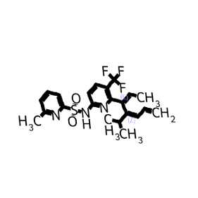 C=C/C=C(\C(=C/C)c1nc(NS(=O)(=O)c2cccc(C)n2)ccc1C(F)(F)F)C(C)C